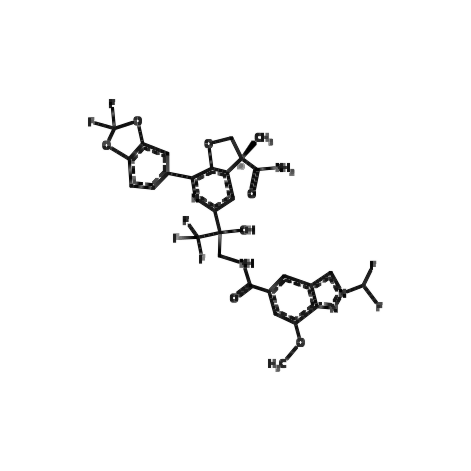 COc1cc(C(=O)NCC(O)(c2cc3c(c(-c4ccc5c(c4)OC(F)(F)O5)n2)OC[C@]3(C)C(N)=O)C(F)(F)F)cc2cn(C(F)F)nc12